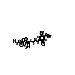 CC(C)(C)OC(=O)NCCCCc1cc(Cl)c(CBr)cc1Cl